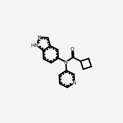 O=C(C1CCC1)N(c1cccnc1)c1ccc2[nH]ncc2c1